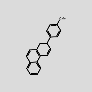 COc1ccc(C2C=Cc3c(ccc4ccccc34)C2)cc1